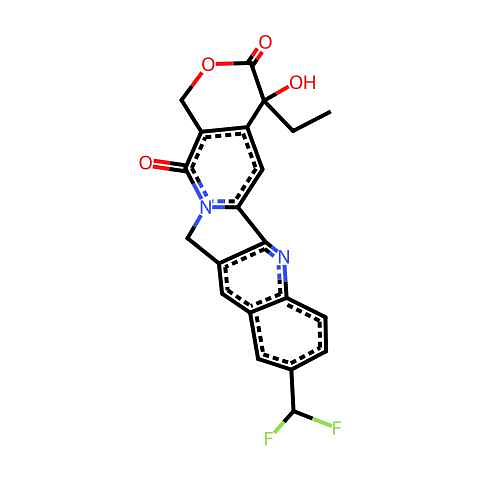 CCC1(O)C(=O)OCc2c1cc1n(c2=O)Cc2cc3cc(C(F)F)ccc3nc2-1